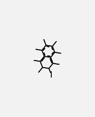 CC1=c2c(C)c(C)c(C)c(C)c2=C(C)C(I)C1C